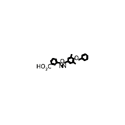 Cc1cc(-c2nnc(-c3cccc(C(=O)O)c3)o2)cc(C)c1OCc1ccccc1